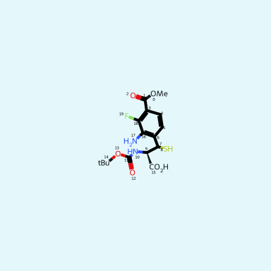 COC(=O)c1ccc(C(S)[C@H](NC(=O)OC(C)(C)C)C(=O)O)c(N)c1F